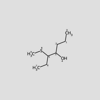 CCCC(O)C(CC)SC